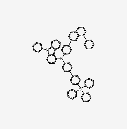 c1ccc(-c2cccc3ccc(-c4ccc(N(c5ccc(-c6ccc([Si](c7ccccc7)(c7ccccc7)c7ccccc7)cc6)cc5)c5cccc6c5c5ccccc5n6-c5ccccc5)cc4)cc23)cc1